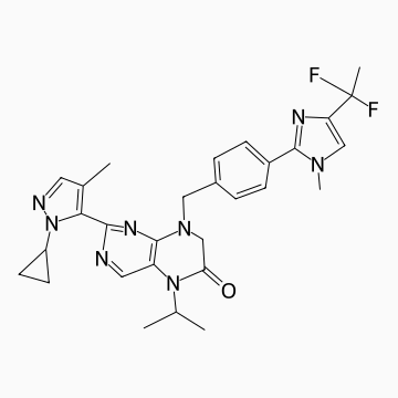 Cc1cnn(C2CC2)c1-c1ncc2c(n1)N(Cc1ccc(-c3nc(C(C)(F)F)cn3C)cc1)CC(=O)N2C(C)C